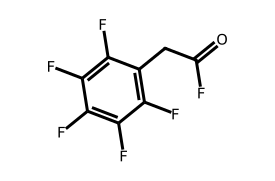 O=C(F)Cc1c(F)c(F)c(F)c(F)c1F